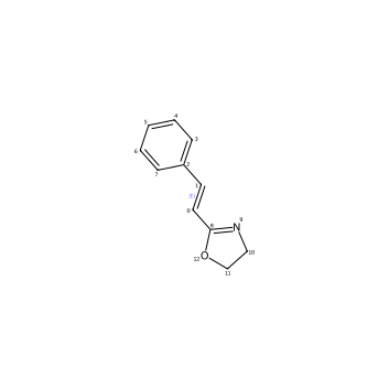 C(=C\c1ccccc1)/C1=NCCO1